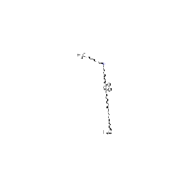 CCCCCCCC/C=C\CCCCCCCC(=O)OC(=O)CCCCCCCCCCCCCCCCC